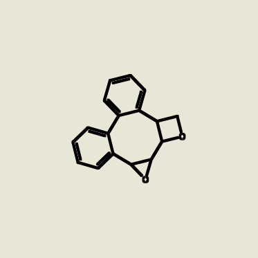 c1ccc2c(c1)-c1ccccc1C1OC1C1OCC21